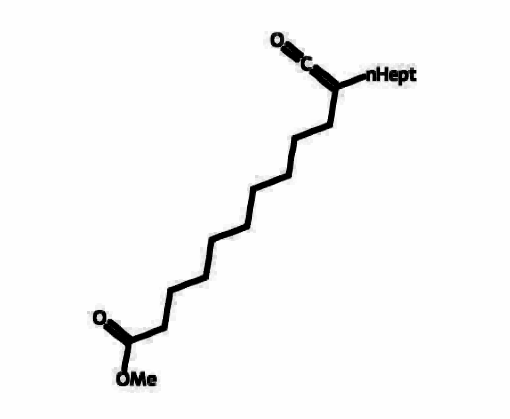 CCCCCCCC(=C=O)CCCCCCCCCC(=O)OC